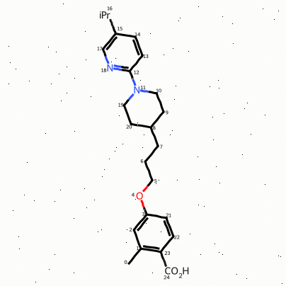 Cc1cc(OCCCC2CCN(c3ccc(C(C)C)cn3)CC2)ccc1C(=O)O